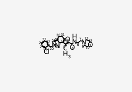 Cc1c(C(=O)NCCN2CCOCC2)oc2c1-c1nn(Cc3ccccc3Cl)cc1CC2